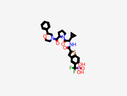 O=C(N[C@H](C(=O)N1CCCC1C(=O)N1CCOC(c2ccccc2)C1)C1CC1)c1cc2cc(C(F)(F)P(=O)(O)O)ccc2s1